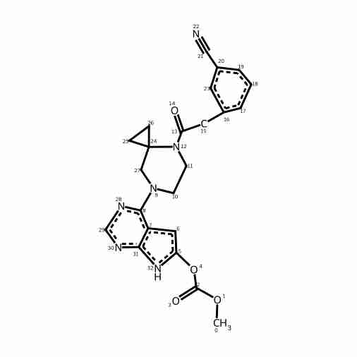 COC(=O)Oc1cc2c(N3CCN(C(=O)Cc4cccc(C#N)c4)C4(CC4)C3)ncnc2[nH]1